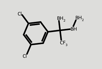 BBC(B)(c1cc(Cl)cc(Cl)c1)C(F)(F)F